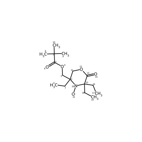 CCC1(COC(=O)C(C)(C)C)COC(=O)C(CC)(CC)N1[O]